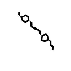 CCCC[C@H]1CC[C@H](C=CC#CC=C[C@H]2CC[C@H](CC)CC2)CC1